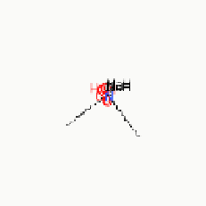 CCCCCCCCCCCCCCCC(=O)N1CCC(O)C1(C(=O)O)C(=O)CCCCCCCCCCCCCCC.[NaH].[NaH]